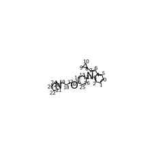 c1ccc2c(c1)cc(C1CC1)n2C1CCC(OCCCN2CCCC2)CC1